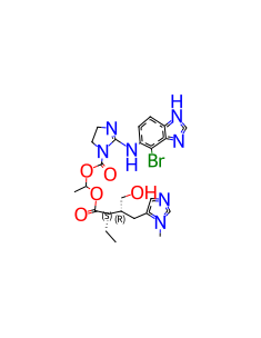 CC[C@H](C(=O)OC(C)OC(=O)N1CCN=C1Nc1ccc2[nH]cnc2c1Br)[C@H](CO)Cc1cncn1C